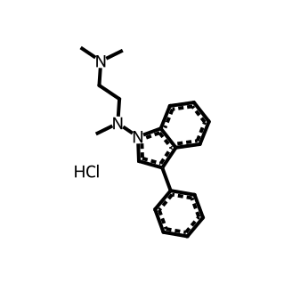 CN(C)CCN(C)n1cc(-c2ccccc2)c2ccccc21.Cl